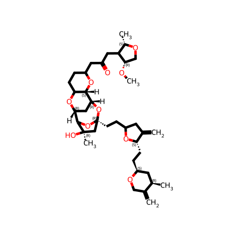 C=C1CO[C@@H](CC[C@@H]2OC(CC[C@]34C[C@@](C)(O)C(O3)[C@H]3C[C@@H](O4)[C@H]4OC(CC(=O)CC5[C@H](C)OC[C@@H]5OC)CCC4O3)CC2=C)C[C@H]1C